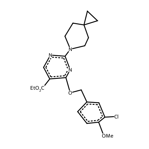 CCOC(=O)c1cnc(N2CCC3(CC2)CC3)nc1OCc1ccc(OC)c(Cl)c1